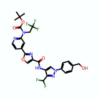 CC(C)(C)OC(=O)N(CC(F)(F)F)c1cc(-c2nc(C(=O)Nc3cn(-c4ccc(CO)cc4)nc3C(F)F)co2)ccn1